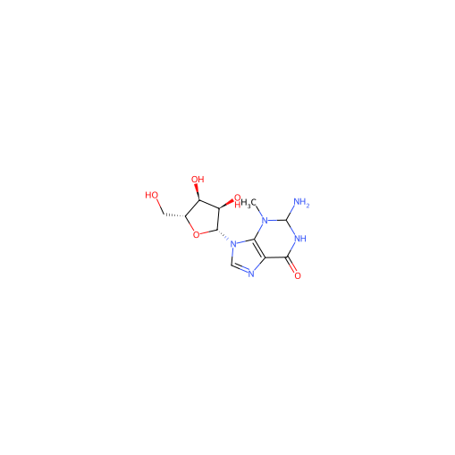 CN1c2c(ncn2[C@@H]2O[C@H](CO)[C@@H](O)[C@H]2O)C(=O)NC1N